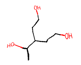 CC(O)[C](CCO)CCO